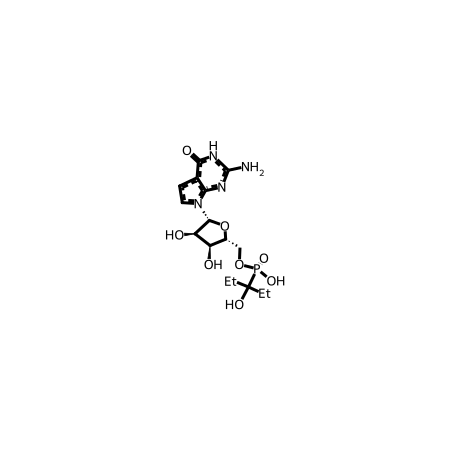 CCC(O)(CC)P(=O)(O)OC[C@H]1O[C@@H](n2ccc3c(=O)[nH]c(N)nc32)[C@H](O)[C@@H]1O